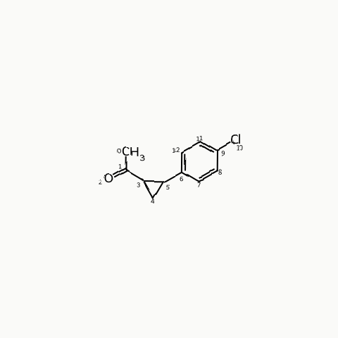 CC(=O)C1CC1c1ccc(Cl)cc1